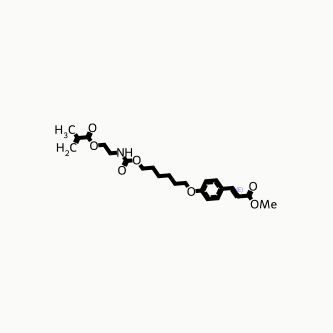 C=C(C)C(=O)OCCNC(=O)OCCCCCCOc1ccc(/C=C/C(=O)OC)cc1